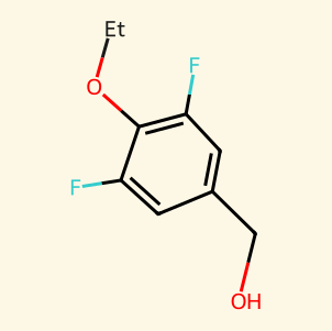 CCOc1c(F)cc(CO)cc1F